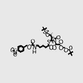 C[C@@H](O[Si](C)(C)C(C)(C)C)[C@@H]1C(=O)N(C(=O)C(=O)OCOC(=O)C(C)(C)C)[C@@H]1SC(=O)CCCCNC(=O)OCc1ccc([N+](=O)[O-])cc1